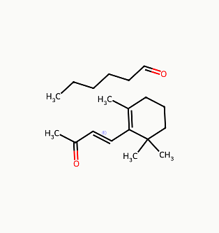 CC(=O)/C=C/C1=C(C)CCCC1(C)C.CCCCCC=O